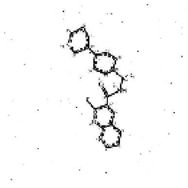 Cc1nc2ncccc2cc1C(=O)N[C@@H](C)c1ccc(-c2cccnc2)cc1